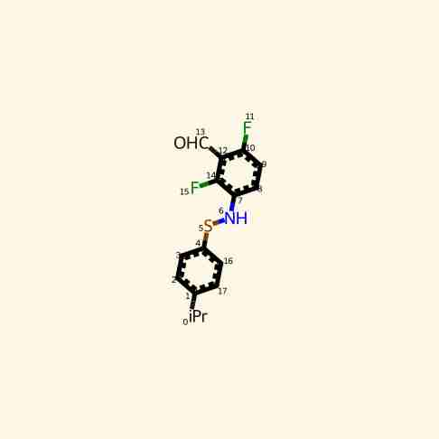 CC(C)c1ccc(SNc2ccc(F)c(C=O)c2F)cc1